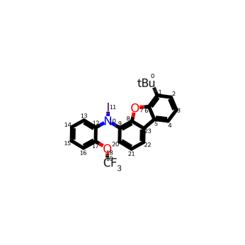 CC(C)(C)c1cccc2c1oc1c(N(I)c3ccccc3OC(F)(F)F)cccc12